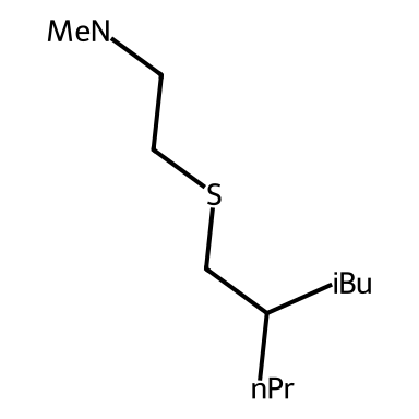 CCCC(CSCCNC)C(C)CC